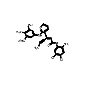 CC#C/C(=C\C(=O)Nc1cc(Cl)c(Cl)cc1N)c1cccnc1Nc1cc(OC)c(OC)c(OC)c1